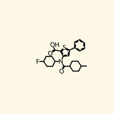 CC1CCC(C(=O)N(c2cc(-c3ccccc3)sc2C(=O)O)C2CCC(F)CC2)CC1